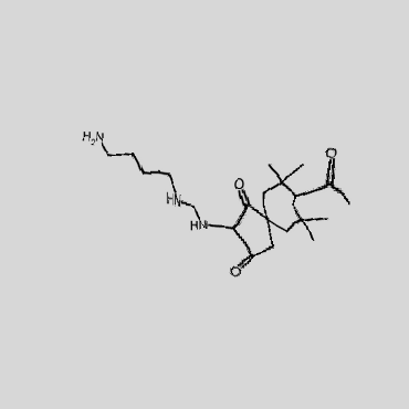 CC(=O)C1C(C)(C)CC2(CC(=O)C(NCNCCCCN)C2=O)CC1(C)C